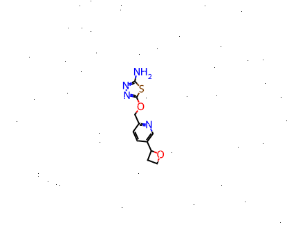 Nc1nnc(OCc2ccc(C3CCO3)cn2)s1